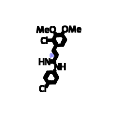 COc1ccc(/C=C/C(=N)Nc2ccc(Cl)cc2)c(Cl)c1OC